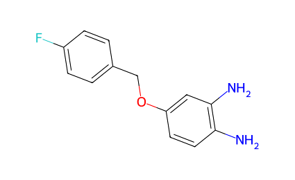 Nc1ccc(OCc2ccc(F)cc2)cc1N